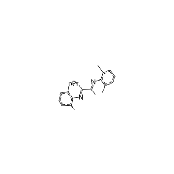 CCCC(=Nc1c(C)cccc1C)C(C)=Nc1c(C)cccc1C